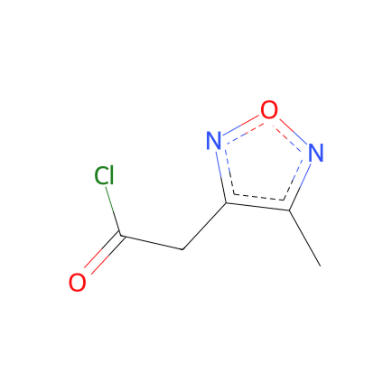 Cc1nonc1CC(=O)Cl